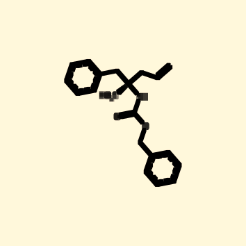 C=CC[C@@](Cc1ccccc1)(NC(=O)OCc1ccccc1)C(=O)O